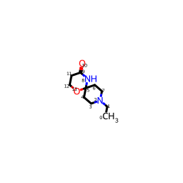 CCN1CCC2(CC1)NC(=O)CCO2